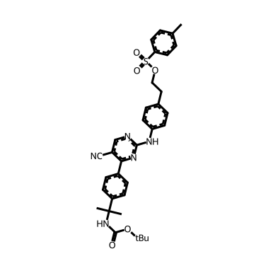 Cc1ccc(S(=O)(=O)OCCc2ccc(Nc3ncc(C#N)c(-c4ccc(C(C)(C)NC(=O)OC(C)(C)C)cc4)n3)cc2)cc1